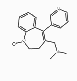 CN(C)CC1=C(c2cccnc2)c2ccccc2[S+]([O-])CC1